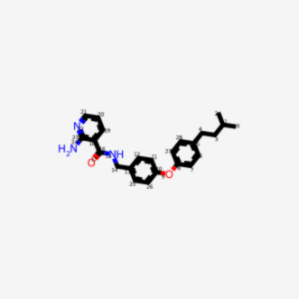 CC(C)CCc1ccc(Oc2ccc(CNC(=O)c3cccnc3N)cc2)cc1